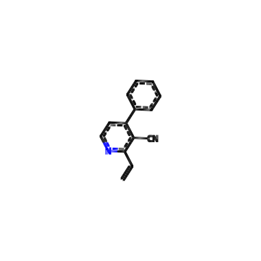 C=Cc1nccc(-c2ccccc2)c1C#N